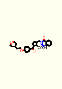 O=C(c1ccc(OCCC2CCOCC2)cc1)C1CCC(Cn2nnc3ccccc3c2=O)C1C(=O)O